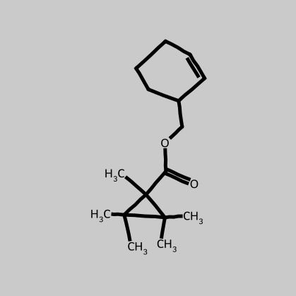 CC1(C)C(C)(C)C1(C)C(=O)OCC1C=CCCC1